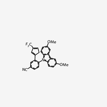 COc1ccc2c(c1)c1cc(OC)ccc1n2-c1ccc(C#N)cc1C1=CC(C(F)(F)F)=CC1